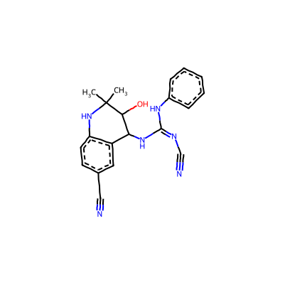 CC1(C)Nc2ccc(C#N)cc2C(N/C(=N\C#N)Nc2ccccc2)C1O